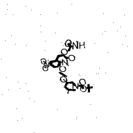 CNC(=O)COc1cc2cc([N+](=O)[O-])cc(OCCO[C@@H]3C[C@H](C)CN(C(=O)OC(C)(C)C)C3)c2n(C)c1=O